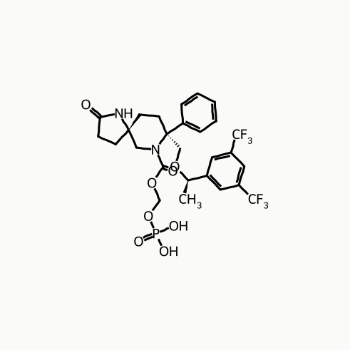 C[C@@H](OC[C@@]1(c2ccccc2)CC[C@]2(CCC(=O)N2)CN1C(=O)OCOP(=O)(O)O)c1cc(C(F)(F)F)cc(C(F)(F)F)c1